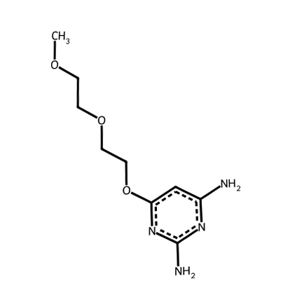 COCCOCCOc1cc(N)nc(N)n1